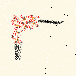 O=P([O-])([O-])OP(=O)([O-])[O-].O=P([O-])([O-])OP(=O)([O-])[O-].O=P([O-])([O-])OP(=O)([O-])[O-].O=P([O-])([O-])OP(=O)([O-])[O-].[Na+].[Na+].[Na+].[Na+].[Na+].[Na+].[Na+].[Na+].[Na+].[Na+].[Na+].[Na+].[Na+].[Na+].[Na+].[Na+]